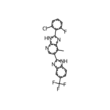 Cc1c(-c2nc3cc(C(F)(F)F)ccc3[nH]2)cnc2[nH]c(-c3c(F)cccc3Cl)nc12